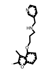 [CH]c1oc2cccc(OCCCNCc3cccnc3)c2c1C